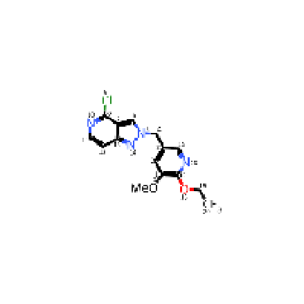 COc1cc(Cn2cc3c(Cl)nccc3n2)cnc1OCC(F)(F)F